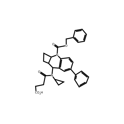 O=C(O)CCC(=O)N(C1CC1)C1c2cc(-c3ccccc3)ccc2N(C(=O)OCc2ccccc2)C2CCC21